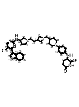 O=C1CCC(Nc2ccc(N3CCC(CN4CC(CCN5CCC(Nc6ncc(Cl)c(-c7c[nH]c8ccccc78)n6)C5)C4)CC3)cc2)C(=O)N1